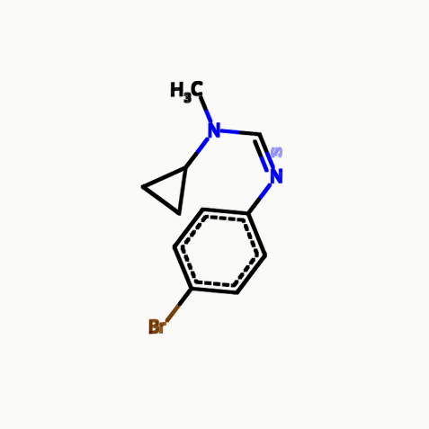 CN(/C=N\c1ccc(Br)cc1)C1CC1